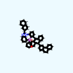 O=P1(c2ccccc2)c2c(-c3c4ccccc4c(-c4ccc5ccc6ccccc6c5c4)c4ccccc34)cccc2-n2c(-c3ccc4ccccc4c3)nc3cccc1c32